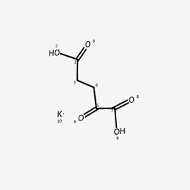 O=C(O)CCC(=O)C(=O)O.[K]